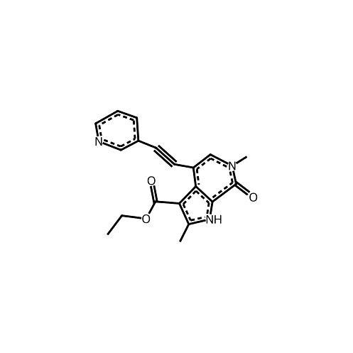 CCOC(=O)c1c(C)[nH]c2c(=O)n(C)cc(C#Cc3cccnc3)c12